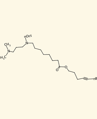 CCCCC#CCCCOC(=O)CCCCCCCN(CCCCCCCC)CCCN(C)C